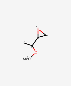 COOC(C)C1CO1